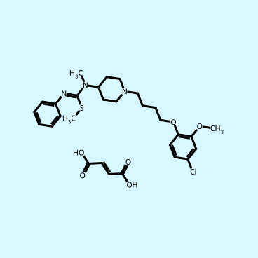 COc1cc(Cl)ccc1OCCCCN1CCC(N(C)/C(=N/c2ccccc2)SC)CC1.O=C(O)/C=C/C(=O)O